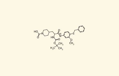 COc1cc(NC(=O)C(CC2CCN(C(=O)O)CC2)NC(=O)OC(C)(C)C)ccc1SCc1ccccc1